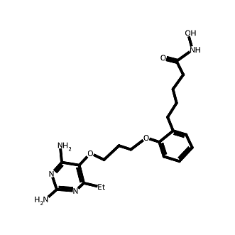 CCc1nc(N)nc(N)c1OCCCOc1ccccc1CCCCC(=O)NO